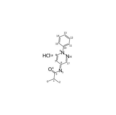 CC(C)C(=O)/N=c1\ccn(-c2ccccc2)nc1.Cl